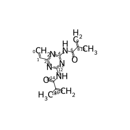 C=Cc1nc(NC(=O)C(=C)C)nc(NC(=O)C(=C)C)n1